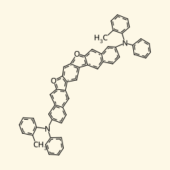 Cc1ccccc1N(c1ccccc1)c1ccc2cc3c(cc2c1)oc1cc2oc4cc5cc(N(c6ccccc6)c6ccccc6C)ccc5cc4c2cc13